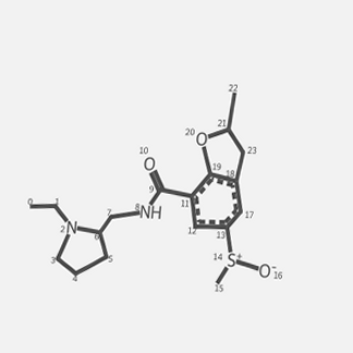 CCN1CCCC1CNC(=O)c1cc([S+](C)[O-])cc2c1OC(C)C2